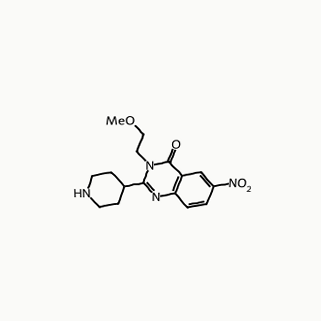 COCCn1c(C2CCNCC2)nc2ccc([N+](=O)[O-])cc2c1=O